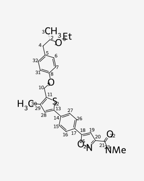 CCO[C@@H](C)Cc1ccc(OCc2sc(-c3ccc(-c4cc(C(=O)NC)no4)cc3)cc2C)cc1